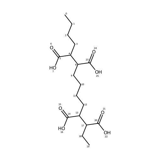 CCCCC(C(=O)O)C(CCCCC(C(=O)O)C(CC)C(=O)O)C(=O)O